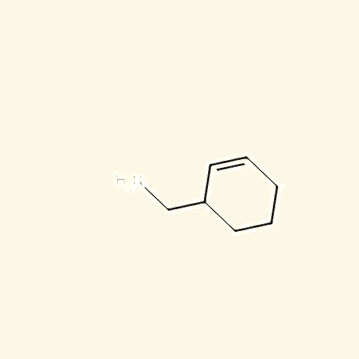 NCC1C=C[CH]CC1